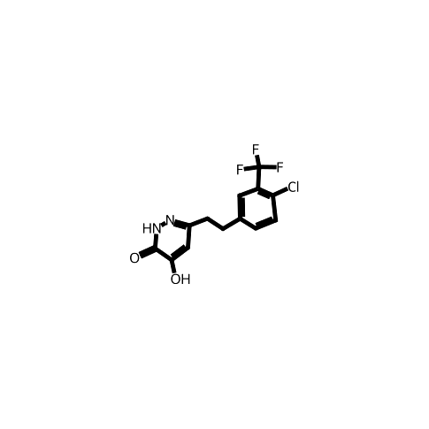 O=c1[nH]nc(CCc2ccc(Cl)c(C(F)(F)F)c2)cc1O